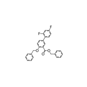 O=C(OCc1ccccc1)c1cc(-c2ccc(F)cc2F)ccc1OCc1ccccc1